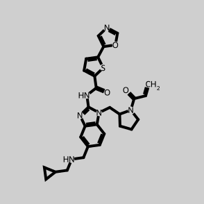 C=CC(=O)N1CCCC1Cn1c(NC(=O)c2ccc(-c3cnco3)s2)nc2cc(CNCC3CC3)ccc21